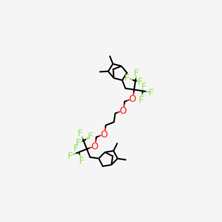 CC1C2CC(CC(OCOCCCOCOC(CC3CC4CC3C(C)C4C)(C(F)(F)F)C(F)(F)F)(C(F)(F)F)C(F)(F)F)C(C2)C1C